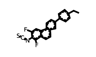 CCc1ccc(-c2ccc3c(ccc4c(F)c(N=C=S)c(F)cc43)c2)cc1